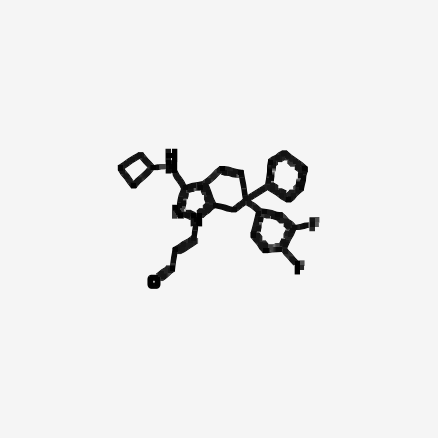 O=CC=Cn1nc(NC2CCC2)c2c1CC(c1ccccc1)(c1ccc(F)c(F)c1)C=C2